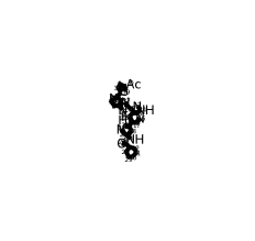 CC(=O)c1ccc(-c2nccc3[nH]c(-c4n[nH]c5ncc(-c6cncc(NC(=O)C7CCCCC7)c6)c(F)c45)nc23)s1